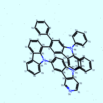 c1ccc(-c2cc3c(cc2-c2cccc4c5ccccc5n(-c5ccc6c(c5)c5cnccc5n6-c5ccccc5)c24)c2ccccc2n3-c2ccccc2)cc1